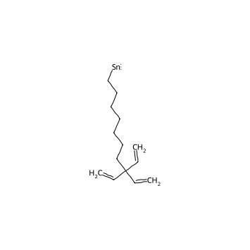 C=CC(C=C)(C=C)CCCCCC[CH2][Sn]